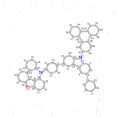 c1ccc(-c2ccc3c(c2)c2cc(-c4ccc(N(c5ccccc5)c5cccc6oc7ccccc7c56)cc4)ccc2n3-c2ccc3c4ccccc4c4ccccc4c3c2)cc1